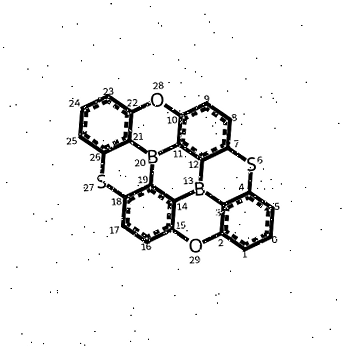 c1cc2c3c(c1)Sc1ccc4c5c1B3c1c(ccc3c1B5c1c(cccc1S3)O4)O2